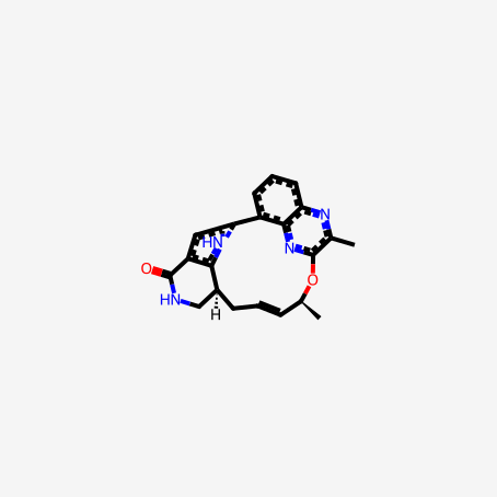 Cc1nc2cccc3c2nc1O[C@@H](C)/C=C/C[C@H]1CNC(=O)c2cc-3[nH]c21